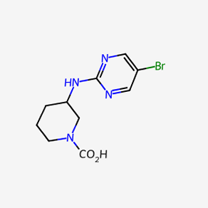 O=C(O)N1CCCC(Nc2ncc(Br)cn2)C1